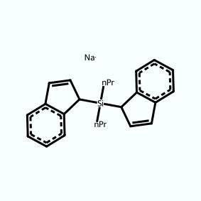 CCC[Si](CCC)(C1C=Cc2ccccc21)C1C=Cc2ccccc21.[Na]